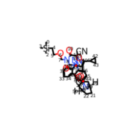 C[Si](C)(C)CCOCn1c(=O)c(C#N)nn(-c2ccc(N3[C@@H]4CC[C@H]3CC(OCc3c(-c5ccccc5OC(F)(F)F)noc3C3CC3)C4)cc2)c1=O